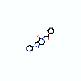 O=C(CN1CCc2nn(C3=CCCN=C3)cc2C1=O)c1ccccc1